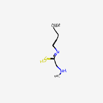 COCC/N=C(\S)NC#N